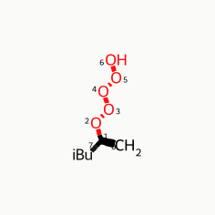 C=C(OOOOO)C(C)CC